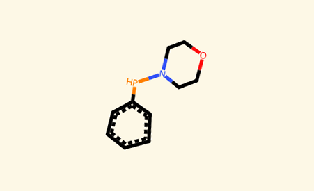 c1ccc(PN2CCOCC2)cc1